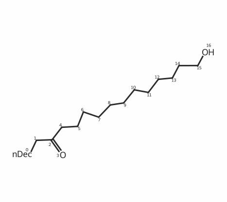 CCCCCCCCCCCC(=O)CCCCCCCCCCCCO